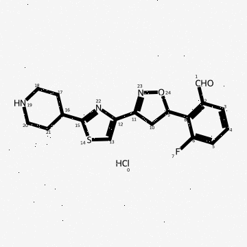 Cl.O=Cc1cccc(F)c1C1CC(c2csc(C3CCNCC3)n2)=NO1